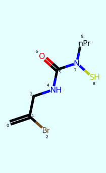 C=C(Br)CNC(=O)N(S)CCC